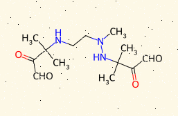 CN(CCNC(C)(C)C(=O)C=O)NC(C)(C)C(=O)C=O